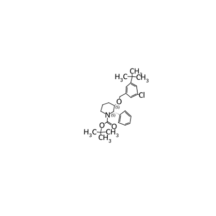 CC(C)(C)OC(=O)N1CCC[C@H](OCc2cc(Cl)cc(C(C)(C)C)c2)[C@@H]1c1ccccc1